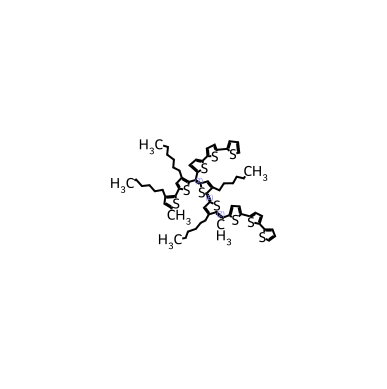 CCCCCCc1cc(-c2sc(C)cc2CCCCCC)sc1/C(c1ccc(-c2ccc(-c3cccs3)s2)s1)=c1/cc(CCCCCC)/c(=c2/cc(CCCCCC)/c(=C(\C)c3ccc(-c4ccc(-c5cccs5)s4)s3)s2)s1